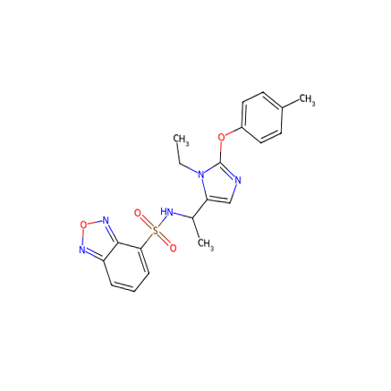 CCn1c(C(C)NS(=O)(=O)c2cccc3nonc23)cnc1Oc1ccc(C)cc1